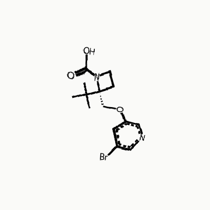 CC(C)(C)[C@]1(COc2cncc(Br)c2)CCN1C(=O)O